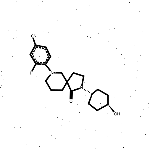 N#Cc1ccc(N2CCCC3(CCN([C@H]4CC[C@H](O)CC4)C3=O)C2)c(F)c1